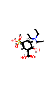 CCN(CC)CC.O=C(O)c1cc(S(=O)(=O)O)ccc1O